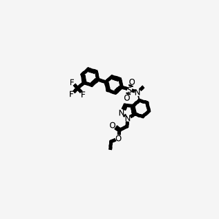 CCOC(=O)Cn1ncc2c1CCC[C@H]2N(C)S(=O)(=O)c1ccc(-c2cccc(C(F)(F)F)c2)cc1